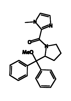 COC(c1ccccc1)(c1ccccc1)C1CCCN1C(=O)c1nccn1C